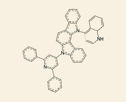 C1=CC2=C(n3c4ccccc4c4ccc5c(c6ccccc6n5-c5cc(-c6ccccc6)nc(-c6ccccc6)c5)c43)C=CNC2C=C1